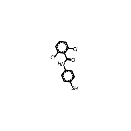 O=C(Nc1ccc(S)cc1)c1c(Cl)cccc1Cl